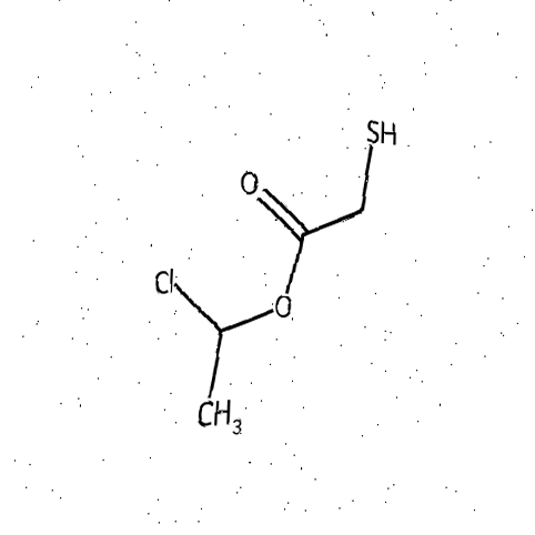 CC(Cl)OC(=O)CS